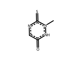 Cn1[nH]c(=O)cnc1=S